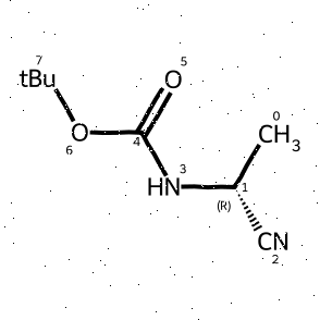 C[C@H](C#N)NC(=O)OC(C)(C)C